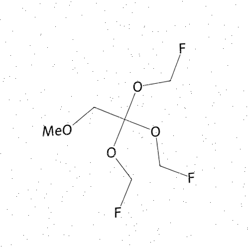 COCC(OCF)(OCF)OCF